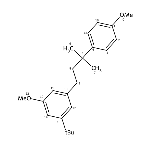 COc1ccc(C(C)(C)CCc2cc(OC)cc(C(C)(C)C)c2)cc1